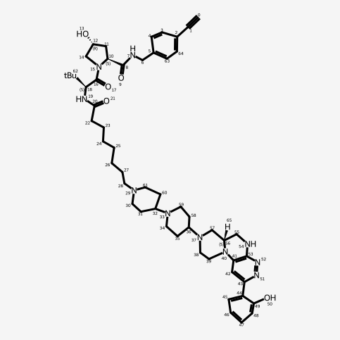 C#Cc1ccc(CNC(=O)[C@@H]2C[C@@H](O)CN2C(=O)[C@@H](NC(=O)CCCCCCCN2CCC(N3CCC(N4CCN5c6cc(-c7ccccc7O)nnc6NC[C@H]5C4)CC3)CC2)C(C)(C)C)cc1